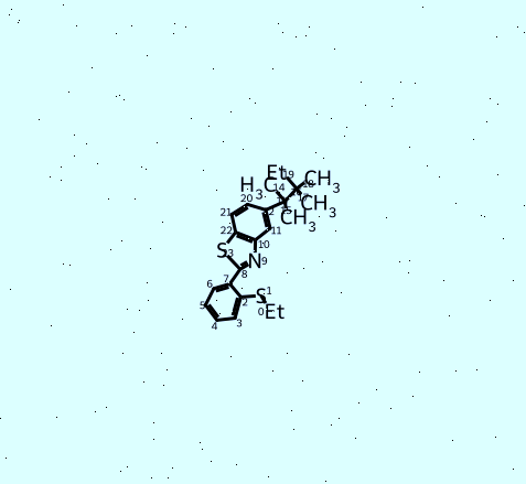 CCSc1ccccc1-c1nc2cc(C(C)(C)C(C)(C)CC)ccc2s1